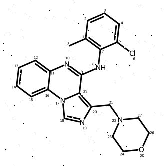 Cc1cccc(Cl)c1Nc1nc2ccccc2n2cnc(CN3CCOCC3)c12